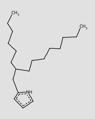 CCCCCCCCC(CCCCCC)Cc1ccc[nH]1